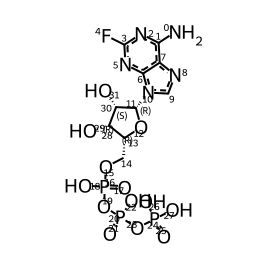 Nc1nc(F)nc2c1ncn2[C@@H]1O[C@H](COP(=O)(O)OP(=O)(O)OP(=O)(O)O)[C@H](O)[C@@H]1O